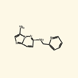 CCCCc1cnc2ccc(NCc3ccccn3)nn12